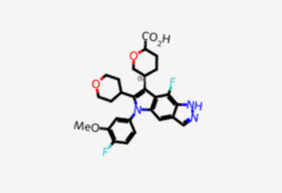 COc1cc(-n2c(C3CCOCC3)c([C@@H]3CCC(C(=O)O)OC3)c3c(F)c4[nH]ncc4cc32)ccc1F